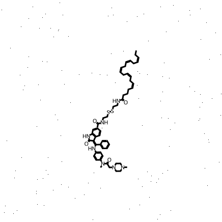 CC/C=C\C/C=C\C/C=C\C/C=C\C/C=C\CCCC(=O)NCCSSCCNC(=O)c1ccc2c(c1)NC(=O)/C2=C(\Nc1ccc(N(C)C(=O)CN2CCN(C)CC2)cc1)c1ccccc1